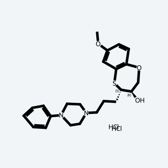 COc1ccc2c(c1)S[C@@H](CCCN1CCN(c3ccccc3)CC1)[C@H](O)CO2.Cl.Cl